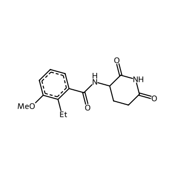 CCc1c(OC)cccc1C(=O)NC1CCC(=O)NC1=O